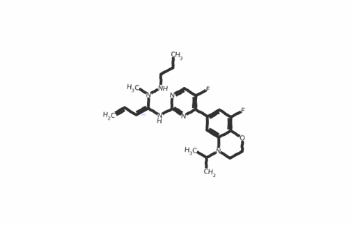 C=C/C=C(/Nc1ncc(F)c(-c2cc(F)c3c(c2)N(C(C)C)CCO3)n1)N(C)NCCC